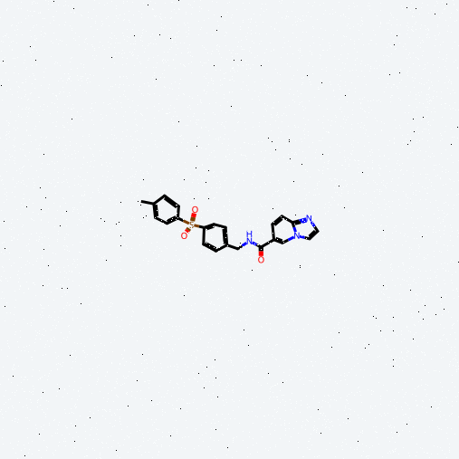 Cc1ccc(S(=O)(=O)c2ccc(CNC(=O)c3ccc4nccn4c3)cc2)cc1